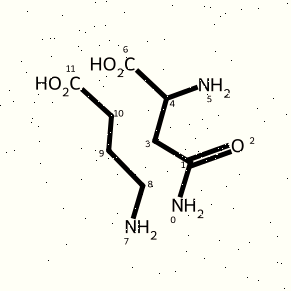 NC(=O)CC(N)C(=O)O.NCCCC(=O)O